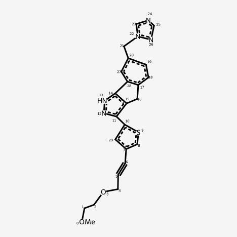 COCCOCC#Cc1csc(-c2n[nH]c3c2Cc2ccc(Cn4cncn4)cc2-3)c1